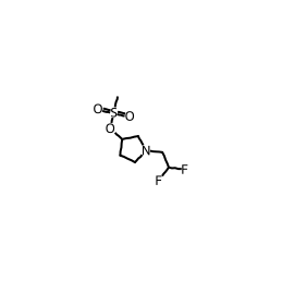 CS(=O)(=O)OC1CCN(CC(F)F)C1